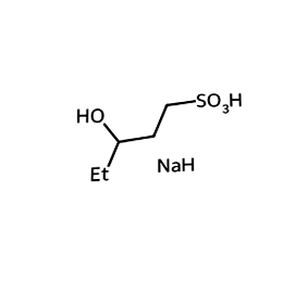 CCC(O)CCS(=O)(=O)O.[NaH]